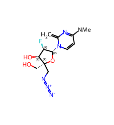 C=C1N=C(NC)C=CN1[C@@H]1O[C@@](CO)(CN=[N+]=[N-])[C@@H](O)[C@H]1F